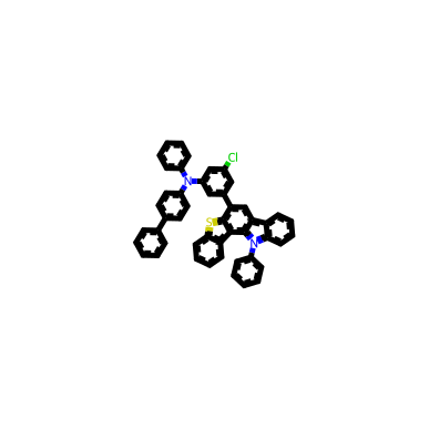 Clc1cc(-c2cc3c4ccccc4n(-c4ccccc4)c3c3c2sc2ccccc23)cc(N(c2ccccc2)c2ccc(-c3ccccc3)cc2)c1